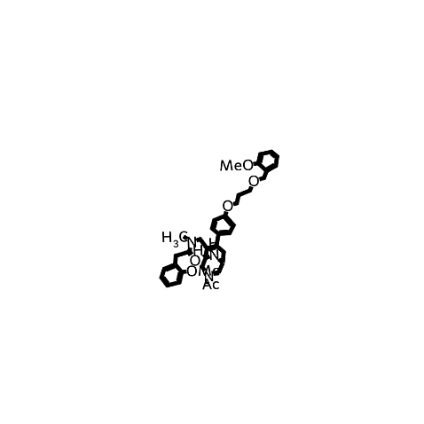 COc1ccccc1COCCCOc1ccc(C2=C(CN(C)C(=O)Cc3ccccc3OC)[C@H]3CN(C(C)=O)CC(C2)N3)cc1